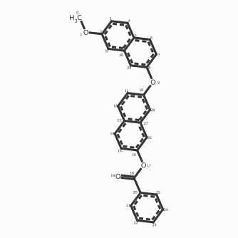 COc1ccc2ccc(Oc3ccc4ccc(OC(=O)c5ccccc5)cc4c3)cc2c1